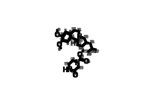 COc1cc2c(cc1OC)[C@H]1C[C@@H](COC(=O)N3CCNC(=O)C3)[C@H](CC(C)C)CN1CC2